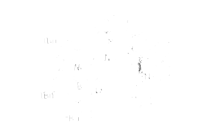 CC(C)(C)c1ccc2c(c1)B1c3c(cc(N4c5ccccc5C5(c6ccccc6-c6cc7c(cc65)C5(c6ccccc6-7)c6ccccc6N(c6ccccc6)c6ccccc65)c5ccccc54)cc3-n3c4ccc(C(C)(C)C)cc4c4cc(C(C)(C)C)cc1c43)O2